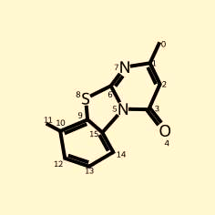 Cc1cc(=O)n2c(n1)sc1c(C)cccc12